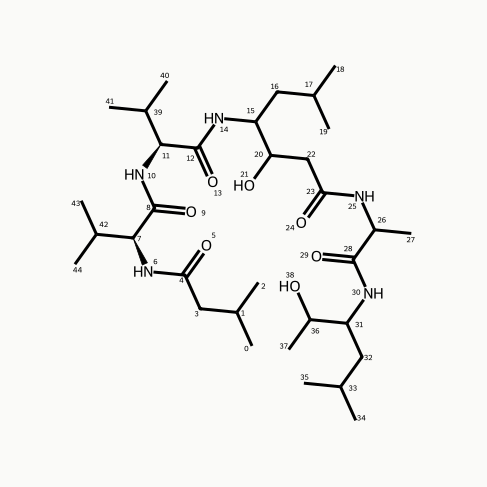 CC(C)CC(=O)N[C@H](C(=O)N[C@H](C(=O)NC(CC(C)C)C(O)CC(=O)NC(C)C(=O)NC(CC(C)C)C(C)O)C(C)C)C(C)C